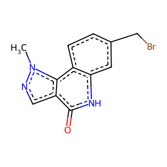 Cn1ncc2c(=O)[nH]c3cc(CBr)ccc3c21